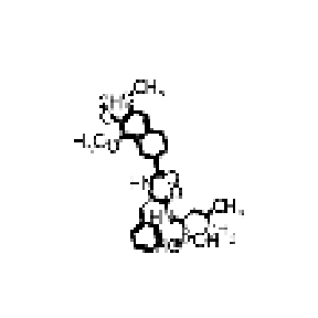 COc1cc2c(c(OC)c1OC)CC(C(=O)N[C@@H](Cc1ccccc1)C(=O)N[C@@H](CC(C)C)B(O)O)CC2